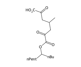 CCCCCC(CCCC)OC(=O)C(=O)CC(C)CC(=O)C(=O)O